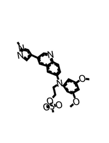 COc1cc(OC)cc(N(CCOS(C)(=O)=O)c2ccc3ncc(-c4cnn(C)c4)cc3c2)c1